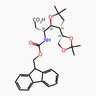 CC1(C)C[C@H]([C@H]2COC(C)(C)O2)[C@@H]([C@@H](CC(=O)O)NC(=O)OCC2c3ccccc3-c3ccccc32)O1